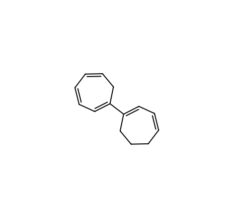 C1=CC=C(C2=CC=CCCC2)CC=C1